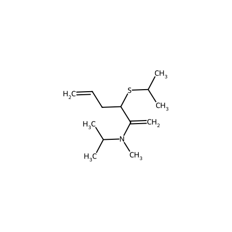 C=CCC(SC(C)C)C(=C)N(C)C(C)C